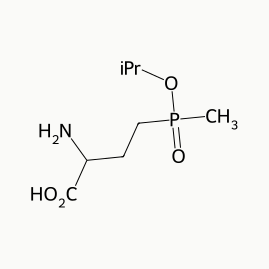 CC(C)OP(C)(=O)CCC(N)C(=O)O